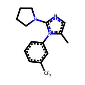 Cc1cnc(N2CCCC2)n1-c1cccc(C(F)(F)F)c1